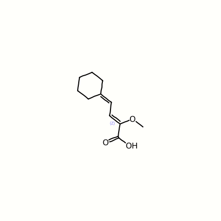 CO/C(=C\C=C1CCCCC1)C(=O)O